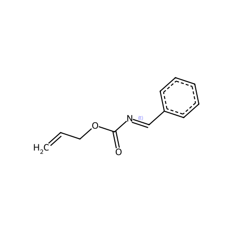 C=CCOC(=O)/N=C/c1ccccc1